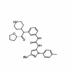 Cc1ccc(-n2nc(C(C)(C)C)cc2NC(=O)Nc2cccc(C(C(=O)[C@@H]3CCCO3)C3CCNCC3)c2)cc1